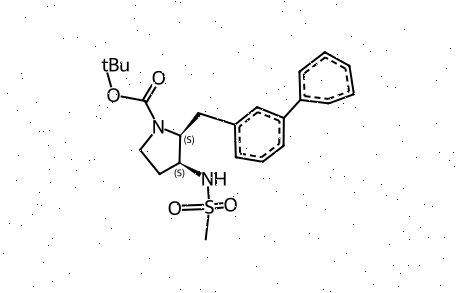 CC(C)(C)OC(=O)N1CC[C@H](NS(C)(=O)=O)[C@@H]1Cc1cccc(-c2ccccc2)c1